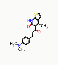 Cc1c(C(=O)C=Cc2ccc(N(C)C)cc2)c(=O)[nH]c2sccc12